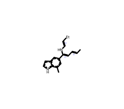 C/C=C/C=C(\N/C=C/CC)c1cc(C)c2[nH]ccc2c1